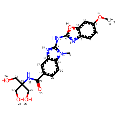 Cn1c(Nc2nc3ccc(OC(F)(F)F)cc3o2)nc2cc(C(=O)NC(CO)(CO)CO)ccc21